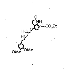 CCOC(=O)COc1ccc(OCC(O)CNCCc2ccc(OC)c(OC)c2)c2c1NC(=O)CC2